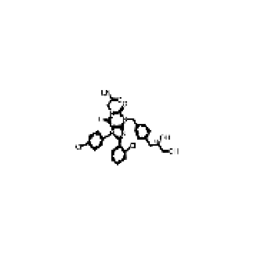 NC(=O)Cn1c(=O)c2c(nc(-c3ccccc3Cl)n2-c2ccc(Cl)cc2)n(Cc2ccc(C[C@@H](O)CO)cc2)c1=O